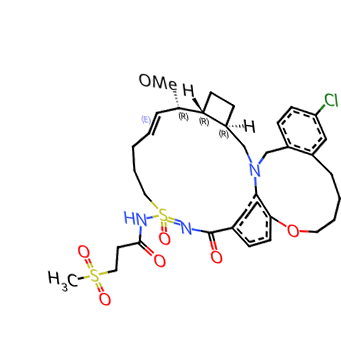 CO[C@H]1/C=C/CCCS(=O)(NC(=O)CCS(C)(=O)=O)=NC(=O)c2ccc3c(c2)N(Cc2ccc(Cl)cc2CCCCO3)C[C@@H]2CC[C@H]21